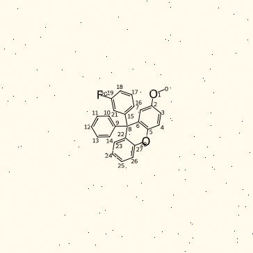 COc1ccc2c(c1)C(c1ccccc1)(c1cccc(F)c1)c1ccccc1O2